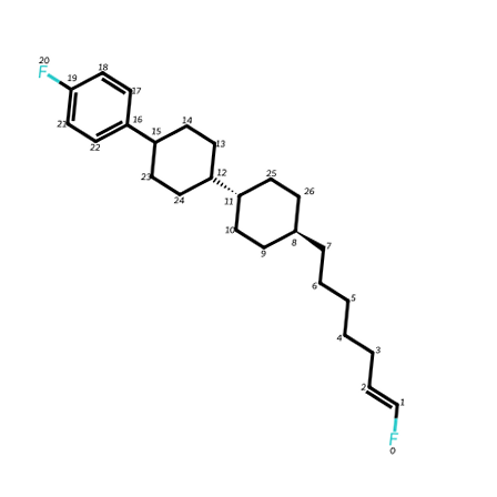 F/C=C/CCCCC[C@H]1CC[C@H](C2CCC(c3ccc(F)cc3)CC2)CC1